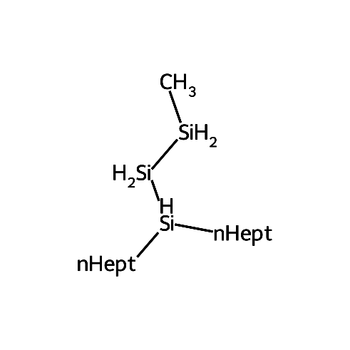 CCCCCCC[SiH](CCCCCCC)[SiH2][SiH2]C